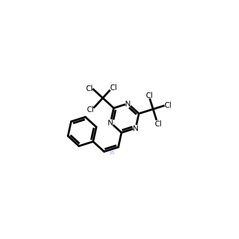 ClC(Cl)(Cl)c1nc(/C=C\c2ccccc2)nc(C(Cl)(Cl)Cl)n1